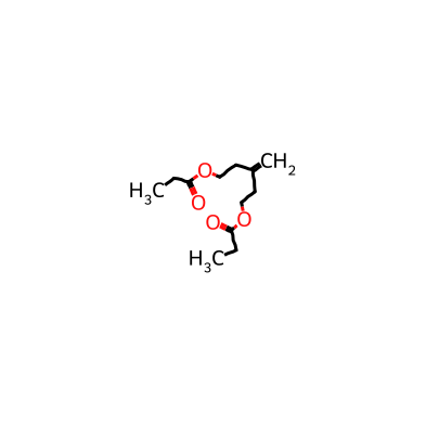 C=C(CCOC(=O)CC)CCOC(=O)CC